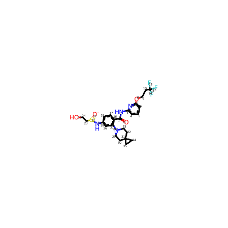 O=C(Nc1cccc(OCCC(F)(F)F)n1)c1ccc(N[S+]([O-])CCO)cc1N1CCC2(CC1)CC2